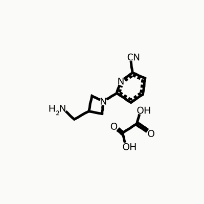 N#Cc1cccc(N2CC(CN)C2)n1.O=C(O)C(=O)O